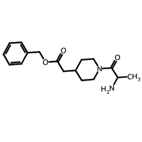 CC(N)C(=O)N1CCC(CC(=O)OCc2ccccc2)CC1